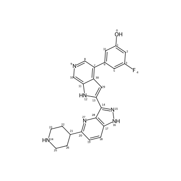 Oc1cc(F)cc(-c2cncc3[nH]c(-c4n[nH]c5ccc(C6CCNCC6)nc45)cc23)c1